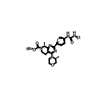 CCNC(=O)Nc1ccc(-c2nc3c(c(N4CCOC[C@@H]4C)n2)CCN(C(=O)OC(C)(C)C)[C@H]3C)cc1